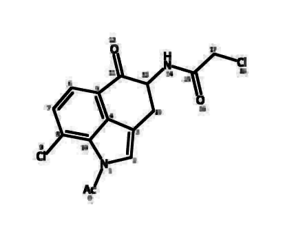 CC(=O)n1cc2c3c(ccc(Cl)c31)C(=O)C(NC(=O)CCl)C2